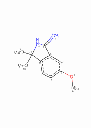 CCCCOc1ccc2c(c1)C(=N)NC2(OC)OC